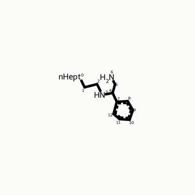 CCCCCCCCCNC(CN)c1ccccc1